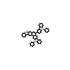 c1ccc(-n2c3ccccc3c3cc(-c4cc5cc6oc7ccccc7c6cc5c5cc6c(cc45)c4ccccc4n6-c4ccccc4)ccc32)cc1